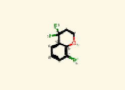 FC1(F)CCOc2c(Br)cccc21